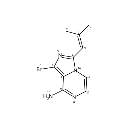 CC(C)=Cc1nc(Br)c2c(N)nccn12